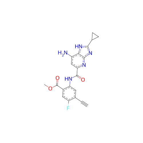 C#Cc1cc(NC(=O)c2cc(N)c3[nH]c(C4CC4)nc3n2)c(C(=O)OC)cc1F